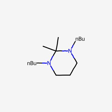 CCCCN1CCCN(CCCC)C1(C)C